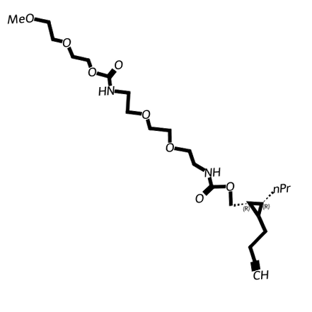 C#CCCC1[C@@H](CCC)[C@H]1COC(=O)NCCOCCOCCNC(=O)OCCOCCOC